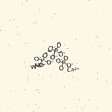 O=P([O-])([O-])[O-].O=P([O-])([O-])[O-].O=P([O-])([O-])[O-].[Al+3].[Ca+2].[W+4]